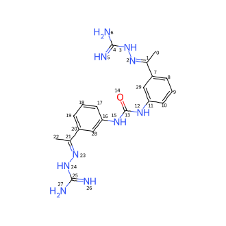 CC(=NNC(=N)N)c1cccc(NC(=O)Nc2cccc(C(C)=NNC(=N)N)c2)c1